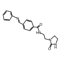 O=C(NCCN1CCNC1=O)c1ccc(C=Nc2ccccc2)cc1